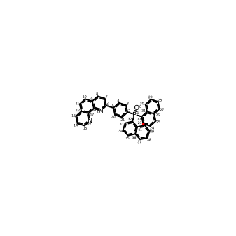 O=P(c1ccc(-c2ccc3ccc4cccnc4c3n2)cc1)(c1cccc2ccccc12)c1cccc2ccccc12